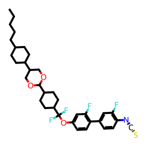 CCCCCC1CCC(C2COC(C3CCC(C(F)(F)Oc4ccc(-c5ccc(N=C=S)c(F)c5)c(F)c4)CC3)OC2)CC1